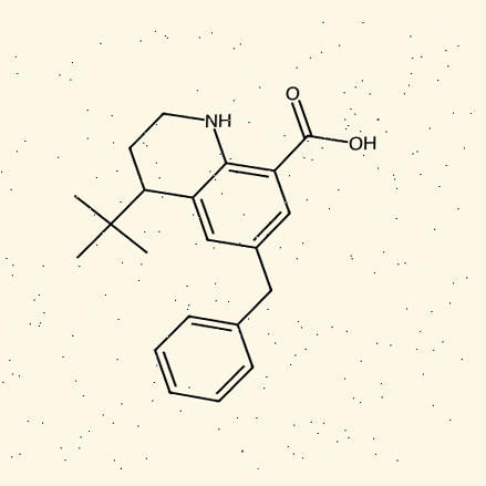 CC(C)(C)C1CCNc2c(C(=O)O)cc(Cc3ccccc3)cc21